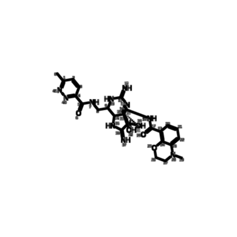 Cc1ccc(C(=O)NCC2NC(=N)N3CC(NC(=O)c4cccc5c4OCCN5C)[C@](C)(O)C34C2NC(=N)N4O)nn1